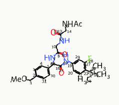 COCc1ccc([C@@H](NC(=O)CNC(=O)CNC(C)=O)C(=O)Nc2ccc([Si](C)(C)C)c(F)c2)cc1